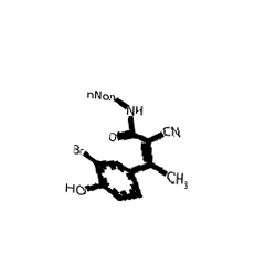 CCCCCCCCCNC(=O)/C(C#N)=C(/C)c1ccc(O)c(Br)c1